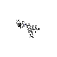 Nc1ccccc1NC(=O)/C=C/c1ccc(C(C(=O)NC2CCCC2)N2CC[C@H](O)C2)cc1